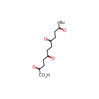 CCCCC(=O)CCC(=O)CCC(=O)CCC(=O)C(=O)O